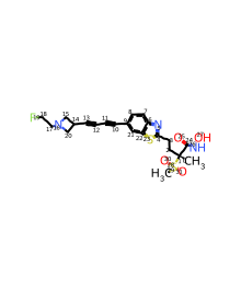 C[C@@](CCc1nc2ccc(C#CC#CC3CN(CCF)C3)cc2s1)(C(=O)NO)S(C)(=O)=O